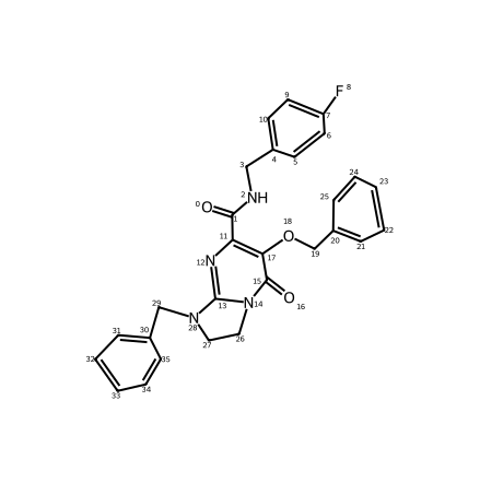 O=C(NCc1ccc(F)cc1)c1nc2n(c(=O)c1OCc1ccccc1)CCN2Cc1ccccc1